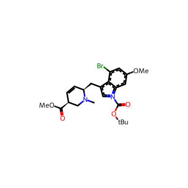 COC(=O)[C@H]1C=C[C@@H](Cc2cn(C(=O)OC(C)(C)C)c3cc(OC)cc(Br)c23)N(C)C1